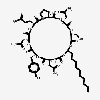 CCCCCCCCCCC1CC(=O)N[C@@H](CC(N)=O)C(=O)N[C@H](Cc2ccc(O)cc2)C(=O)N[C@H](CC(N)=O)C(=O)N[C@@H](CCC(N)=O)C(=O)N2CCC[C@H]2C(=O)N[C@H](CC(N)=O)C(=O)N[C@@H](CO)C(=O)N1